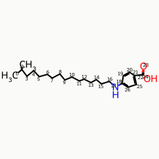 CC(C)CCCCCCCCCCCCCCNc1ccc(C(=O)O)cc1